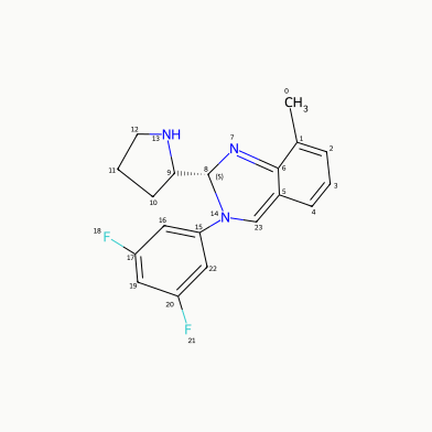 Cc1cccc2c1=N[C@@H](C1CCCN1)N(c1cc(F)cc(F)c1)C=2